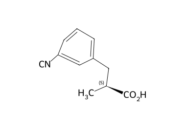 [C-]#[N+]c1cccc(C[C@H](C)C(=O)O)c1